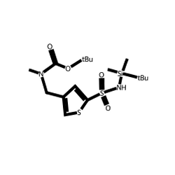 CN(Cc1csc(S(=O)(=O)N[Si](C)(C)C(C)(C)C)c1)C(=O)OC(C)(C)C